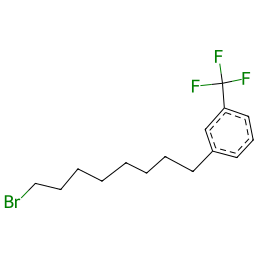 FC(F)(F)c1cccc(CCCCCCCCBr)c1